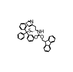 O=C(N[C@H](CSC(c1ccccc1)(c1ccccc1)c1ccccc1)Cc1cscn1)OCC1c2ccccc2-c2ccccc21